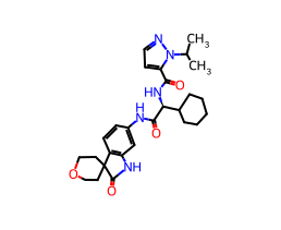 CC(C)n1nccc1C(=O)N[C@H](C(=O)Nc1ccc2c(c1)NC(=O)C21CCOCC1)C1CCCCC1